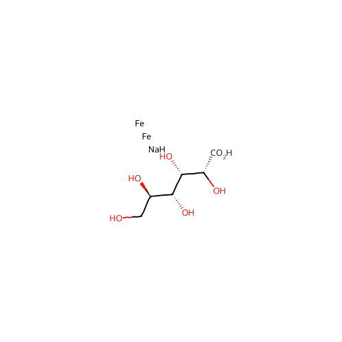 O=C(O)[C@H](O)[C@@H](O)[C@H](O)[C@H](O)CO.[Fe].[Fe].[NaH]